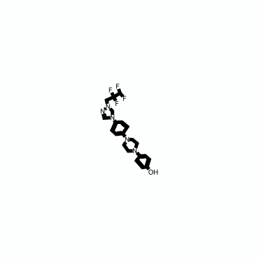 Oc1ccc(N2CCN(c3ccc(N4C=NN(CC(F)(F)C(F)F)C4)cc3)CC2)cc1